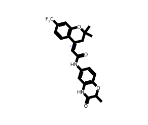 CC1Oc2ccc(NC(=O)/C=C3\CC(C)(C)Oc4cc(C(F)(F)F)ccc43)cc2NC1=O